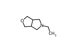 CCN1CC2COCC2C1